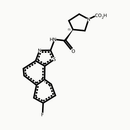 O=C(Nc1nc2ccc3cc(F)ccc3c2s1)[C@H]1CCN(C(=O)O)C1